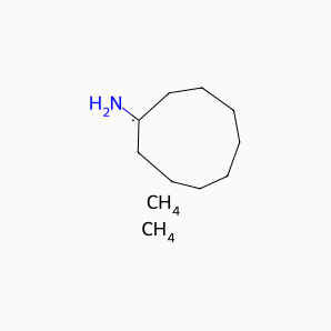 C.C.N[C]1CCCCCCCC1